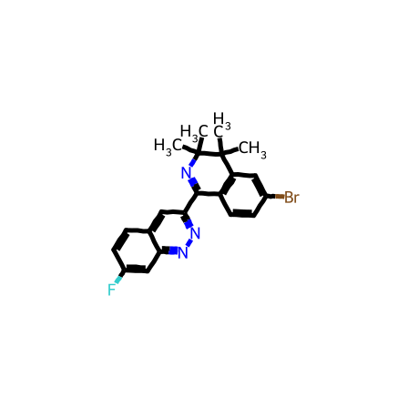 CC1(C)N=C(c2cc3ccc(F)cc3nn2)c2ccc(Br)cc2C1(C)C